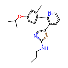 CCCNc1ncc(-c2cccnc2-c2ccc(OC(C)C)cc2C)s1